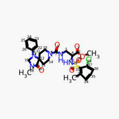 COC(=O)C(CNC(=O)N1CCC2(CC1)C(=O)N(C)CN2c1ccccc1)NS(=O)(=O)c1c(C)cccc1Cl